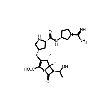 CC(O)[C@H]1C(=O)N2C(C(=O)O)=C(S[C@@H]3CN[C@H](C(=O)N[C@H]4CCN(C(=N)N)C4)C3)[C@H](C)[C@H]12